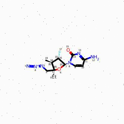 CC[C@@]1(CN=[N+]=[N-])O[C@@H](n2ccc(N)nc2=O)[C@@H](F)[C@@H]1C